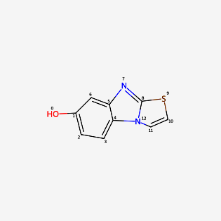 Oc1ccc2c(c1)nc1sccn12